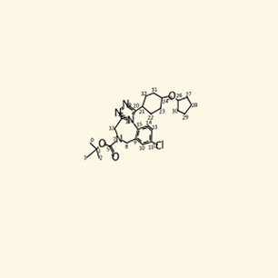 CC(C)(C)OC(=O)N1Cc2cc(Cl)ccc2-n2c(nnc2C2CCC(OC3CCCC3)CC2)C1